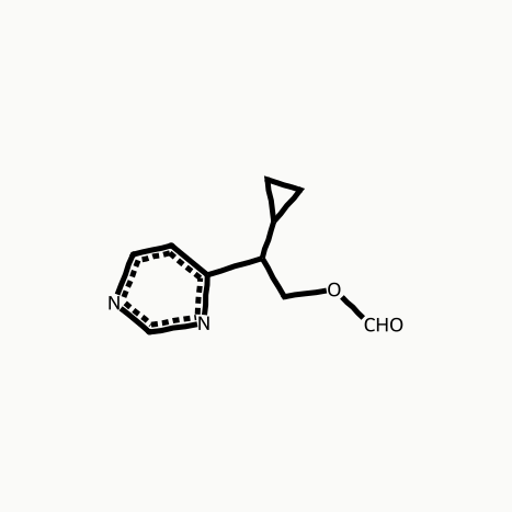 O=COCC(c1ccncn1)C1CC1